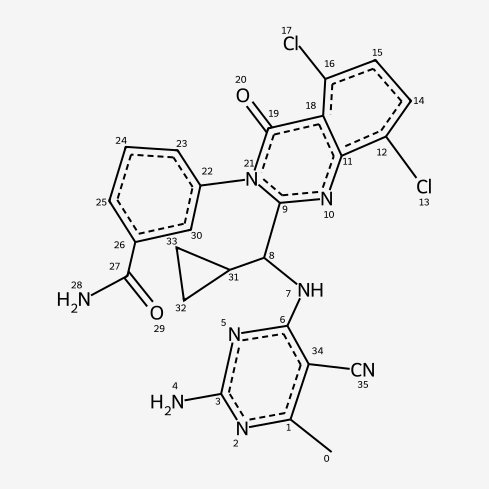 Cc1nc(N)nc(NC(c2nc3c(Cl)ccc(Cl)c3c(=O)n2-c2cccc(C(N)=O)c2)C2CC2)c1C#N